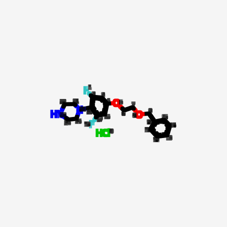 Cl.Fc1cc(OCCOCc2ccccc2)cc(F)c1N1CCNCC1